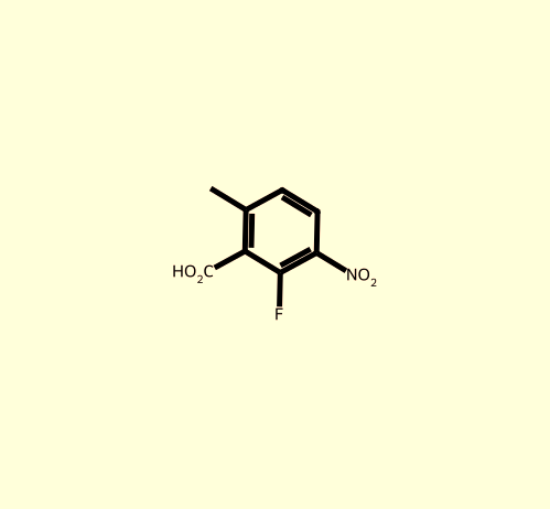 Cc1ccc([N+](=O)[O-])c(F)c1C(=O)O